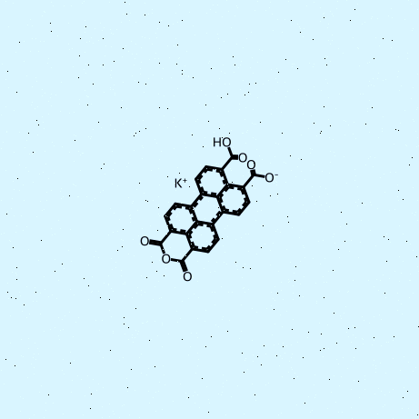 O=C([O-])c1ccc2c3ccc4c5c(ccc(c6ccc(C(=O)O)c1c26)c53)C(=O)OC4=O.[K+]